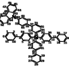 c1ccc(-c2ccc([Si](c3ccc(-c4ccccc4)cc3)(c3ccc(-c4ccccc4)cc3)c3cccc(-c4ccc(-n5c6ccccc6c6ccccc65)cc4)c3)cc2)cc1